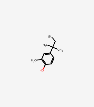 Cc1cc(C(C)(C)CC(C)(C)C)ccc1O